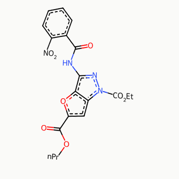 CCCOC(=O)c1cc2c(o1)c(NC(=O)c1ccccc1[N+](=O)[O-])nn2C(=O)OCC